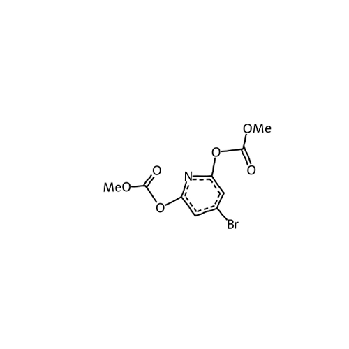 COC(=O)Oc1cc(Br)cc(OC(=O)OC)n1